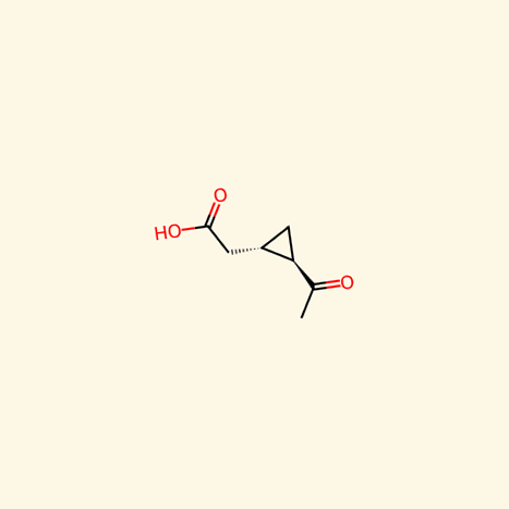 CC(=O)[C@@H]1C[C@H]1CC(=O)O